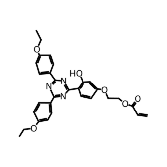 C=CC(=O)OCCOc1ccc(-c2nc(-c3ccc(OCC)cc3)nc(-c3ccc(OCC)cc3)n2)c(O)c1